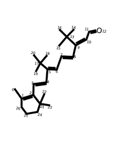 CC1=C(C=CC(=CC=CC(=CC=O)C(C)(C)C)C(C)(C)C)C(C)(C)CCC1